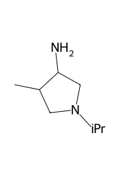 CC1CN(C(C)C)CC1N